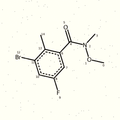 CON(C)C(=O)c1cc(F)cc(Br)c1C